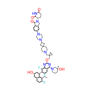 CCc1c(F)ccc2cc(O)cc(-c3c(F)cc4c(N5CCC[C@@](C)(O)C5)nc(OCC5(CN6CCC7(CC6)CC(N6CCN(c8ccc9c(c8)CN([C@H]8CCC(=O)NC8=O)C9=O)CC6)C7)CC5)nc4c3F)c12